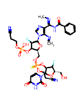 C=Nc1c(/C(=N\C)NC(=O)c2ccccc2)ncn1[C@H]1O[C@@H](COP(=S)(OCCC#N)OC2C(F)[C@H](CO)O[C@@H]2n2ccc(=O)[nH]c2=O)C(OP(=O)(O)OCCC#N)C1F